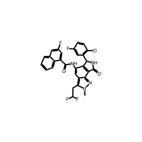 Cn1nc2c3c(c(NC(=O)c4cc(F)cc5ccccc45)cc2c1CC(F)F)C(c1cc(F)ccc1Cl)NC3=O